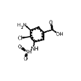 Nc1cc(C(=O)O)cc(N[SH](=O)=O)c1Cl